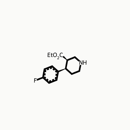 CCOC(=O)[C@H]1CNCC[C@H]1c1ccc(F)cc1